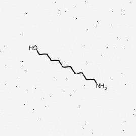 NCCCCCCCCCCO